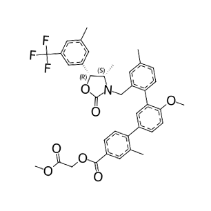 COC(=O)COC(=O)c1ccc(-c2ccc(OC)c(-c3ccc(C)cc3CN3C(=O)O[C@H](c4cc(C)cc(C(F)(F)F)c4)[C@@H]3C)c2)c(C)c1